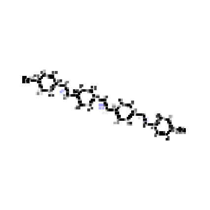 Brc1ccc(/C=C/c2ccc(/C=C/c3ccc(/C=C/c4ccc(Br)cc4)cc3)cc2)cc1